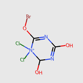 OC1=NC(O)[N+](Cl)(Cl)C(OBr)=N1